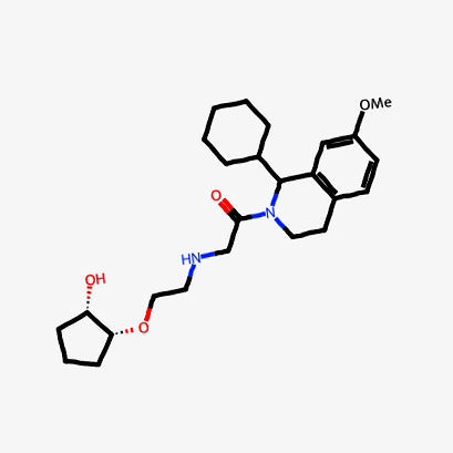 COc1ccc2c(c1)C(C1CCCCC1)N(C(=O)CNCCO[C@@H]1CCC[C@@H]1O)CC2